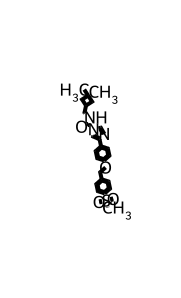 CC1(C)CC(CNC(=O)n2cnc(-c3ccc(OCc4ccc(S(C)(=O)=O)cc4)cc3)c2)C1